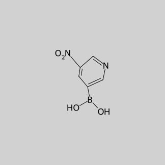 O=[N+]([O-])c1cncc(B(O)O)c1